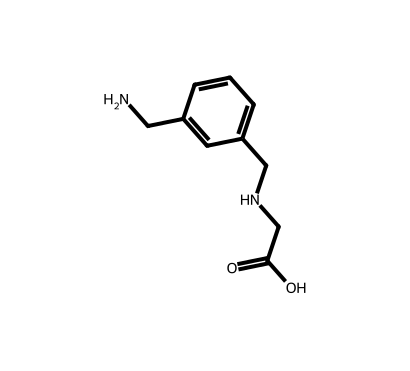 NCc1cccc(CNCC(=O)O)c1